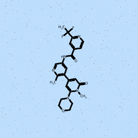 Cc1ncc(NC(=O)c2ccnc(C(C)(F)F)c2)cc1-c1cc(N2CCOCC2)n(C)c(=O)c1